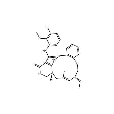 COc1c(F)cccc1Nc1c2[nH]c3c1C(=O)NC[C@H]3C/C(C)=C/[C@H](OC)COc1cnccc1-2